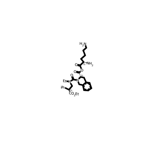 CCOC(=O)[C@H](CN(CC)C(=O)N1Cc2ccccc2C[C@H]1C(=O)OC(=O)[C@@H](N)CCCCN)C(C)C